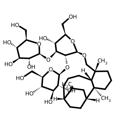 C=C1C[C@H]2CC[C@@H]1CCC[C@@H]1[C@](C)(CO[C@@H]3O[C@H](CO)[C@@H](O)[C@H](O[C@@H]4O[C@H](CO)[C@@H](O)[C@H](O)[C@H]4O)[C@H]3O[C@@H]3O[C@H](CO)[C@@H](O)[C@H](O)[C@H]3O)CCC[C@@]21C